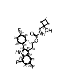 O=C(NCC1(O)CCC1)OCCc1c(-c2ccc(F)cc2)[nH]c2c(F)cc(F)cc12